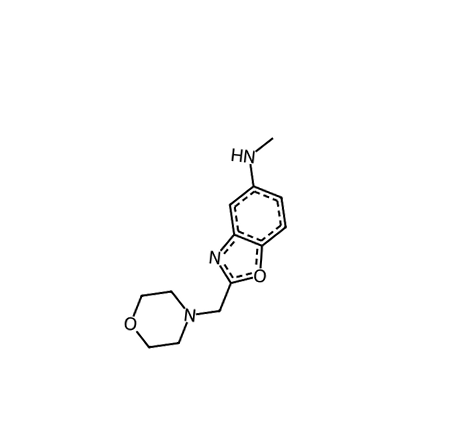 CNc1ccc2oc(CN3CCOCC3)nc2c1